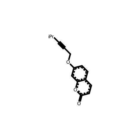 CC(C)C#CCOc1ccc2ccc(=O)oc2c1